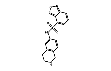 O=S(=O)(Nc1ccc2c(c1)CCNC2)c1cccc2nonc12